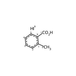 Cc1ccccc1C(=O)O.I